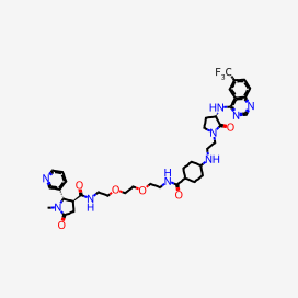 CN1C(=O)C[C@H](C(=O)NCCOCCOCCNC(=O)C2CCC(NCCN3CC[C@H](Nc4ncnc5ccc(C(F)(F)F)cc45)C3=O)CC2)[C@H]1c1cccnc1